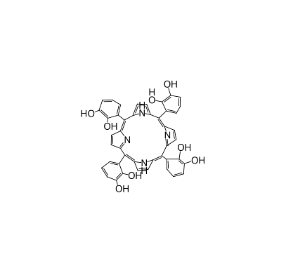 Oc1cccc(-c2c3nc(c(-c4cccc(O)c4O)c4ccc([nH]4)c(-c4cccc(O)c4O)c4nc(c(-c5cccc(O)c5O)c5ccc2[nH]5)C=C4)C=C3)c1O